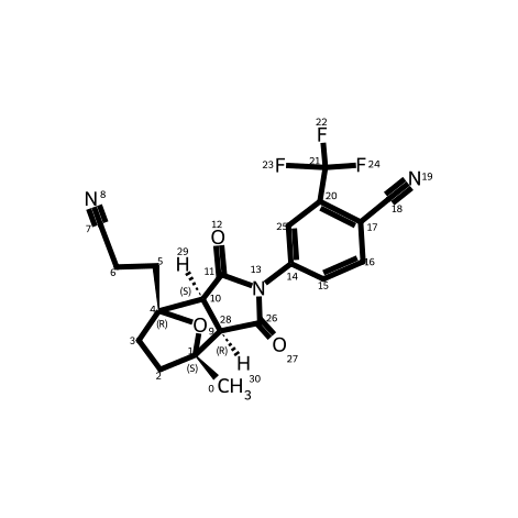 C[C@@]12CC[C@@](CCC#N)(O1)[C@H]1C(=O)N(c3ccc(C#N)c(C(F)(F)F)c3)C(=O)[C@H]12